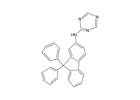 c1ccc(C2(c3ccccc3)c3ccccc3-c3ccc(Nc4ncncn4)cc32)cc1